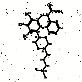 CCc1c(C#N)c(SC(C(N)=O)c2ccccc2)nc(N2CCN(CCCN(C)C)CC2)c1C#N